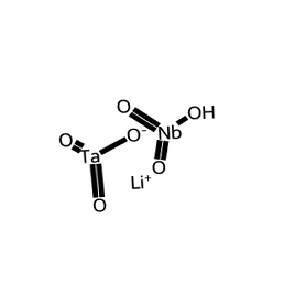 [Li+].[O]=[Nb](=[O])[OH].[O]=[Ta](=[O])[O-]